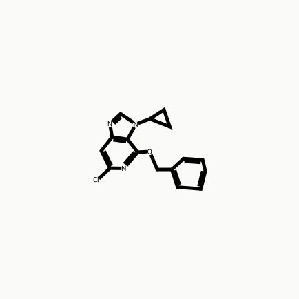 Clc1cc2ncn(C3CC3)c2c(OCc2ccccc2)n1